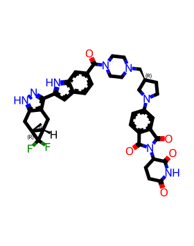 C[C@@]12Cc3[nH]nc(-c4cc5ccc(C(=O)N6CCN(C[C@H]7CCN(c8ccc9c(c8)C(=O)N(C8CCC(=O)NC8=O)C9=O)C7)CC6)cc5[nH]4)c3C[C@@H]1C2(F)F